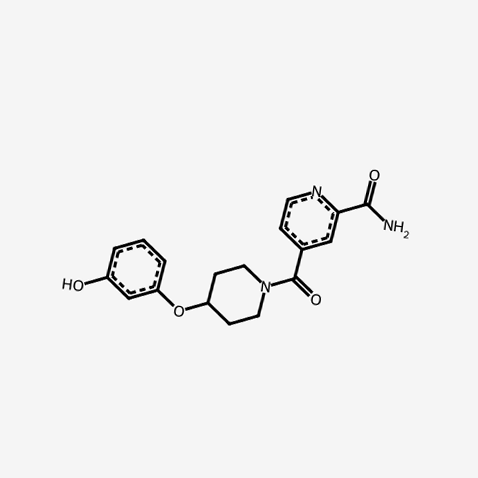 NC(=O)c1cc(C(=O)N2CCC(Oc3cccc(O)c3)CC2)ccn1